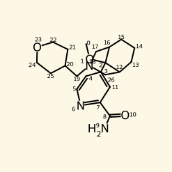 COC1(c2ccnc(C(N)=O)c2)C2CCCC1CN(CC1CCOCC1)C2